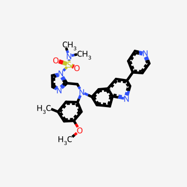 COc1cc(C)cc(N(Cc2nccn2S(=O)(=O)N(C)C)c2ccc3ncc(-c4ccncc4)cc3c2)c1